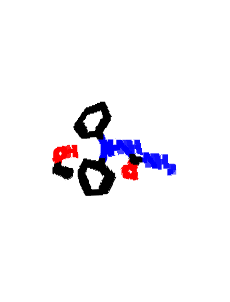 CCO.NC(=O)NN(c1ccccc1)c1ccccc1